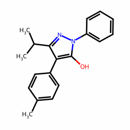 Cc1ccc(-c2c(C(C)C)nn(-c3ccccc3)c2O)cc1